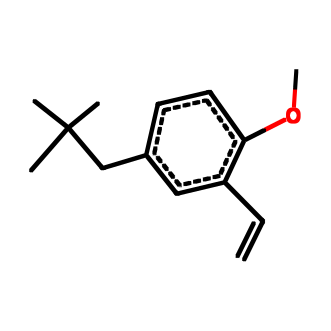 C=Cc1cc(CC(C)(C)C)ccc1OC